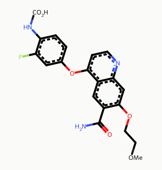 COCCOc1cc2nccc(Oc3ccc(NC(=O)O)c(F)c3)c2cc1C(N)=O